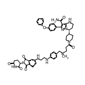 CN(CCC(=O)N1CCC([C@@H]2CCNc3c(C(N)=O)c(-c4ccc(Oc5ccccc5)cc4)nn32)CC1)Cc1ccc(NCCNc2ccc3c(c2)C(=O)N(C2CCC(=O)NC2=O)C3=O)cc1